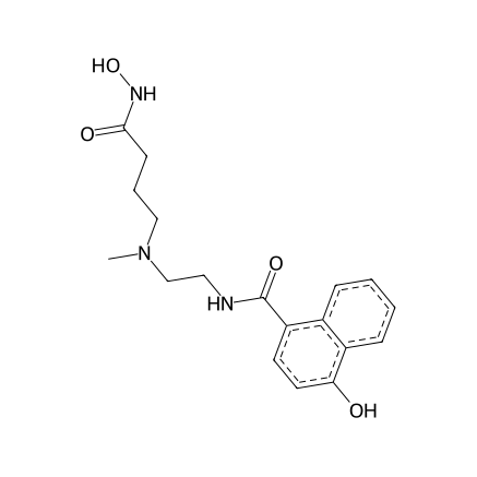 CN(CCCC(=O)NO)CCNC(=O)c1ccc(O)c2ccccc12